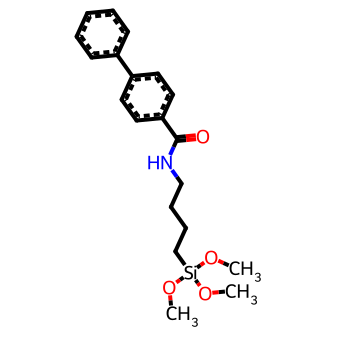 CO[Si](CCCCNC(=O)c1ccc(-c2ccccc2)cc1)(OC)OC